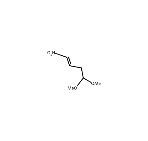 COC(C/C=C/[N+](=O)[O-])OC